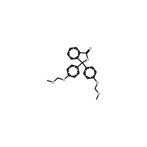 COCOc1ccc(C2(c3ccc(OCOC)cc3)OC(=O)c3ccccc32)cc1